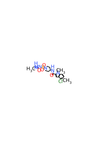 CNC(=O)NS(=O)(=O)N1CCC(NC(=O)c2cc3c(Cl)c(C)ccc3n2C)CC1